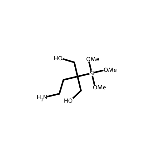 CO[Si](OC)(OC)C(CO)(CO)CCN